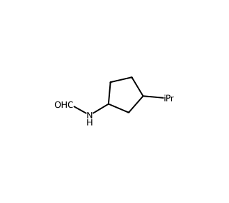 CC(C)C1CCC(NC=O)C1